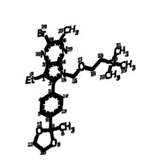 CCc1c(-c2ccc(C3(C)OCCO3)cc2)n(COCC[Si](C)(C)C)c2nc(C)c(Br)nc12